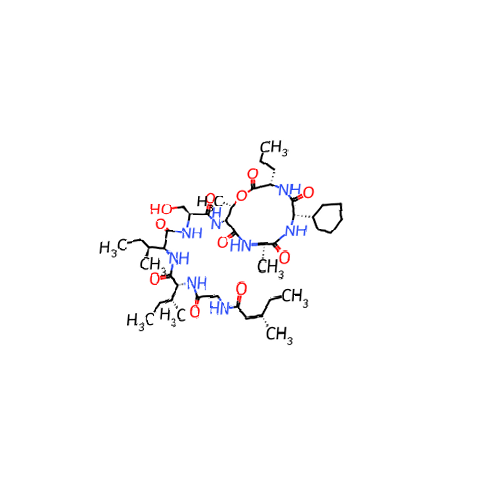 CCC[C@@H]1NC(=O)[C@H](C2CCCCC2)NC(=O)[C@H](C)NC(=O)[C@H](NC(=O)[C@H](CO)NC(=O)[C@@H](NC(=O)[C@H](NC(=O)CNC(=O)C[C@@H](C)CC)[C@H](C)CC)[C@@H](C)CC)[C@H](C)OC1=O